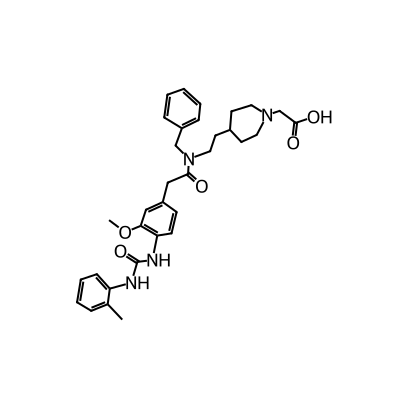 COc1cc(CC(=O)N(CCC2CCN(CC(=O)O)CC2)Cc2ccccc2)ccc1NC(=O)Nc1ccccc1C